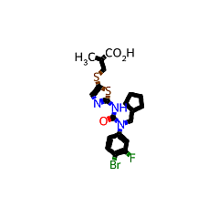 CC(CSc1cnc(NC(=O)N(CC2CCCC2)c2ccc(Br)c(F)c2)s1)C(=O)O